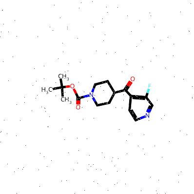 CC(C)(C)OC(=O)N1CCC(C(=O)c2ccncc2F)CC1